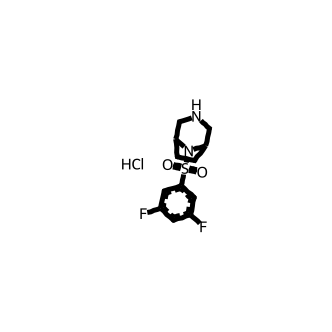 Cl.O=S(=O)(c1cc(F)cc(F)c1)N1C2CCC1CNC2